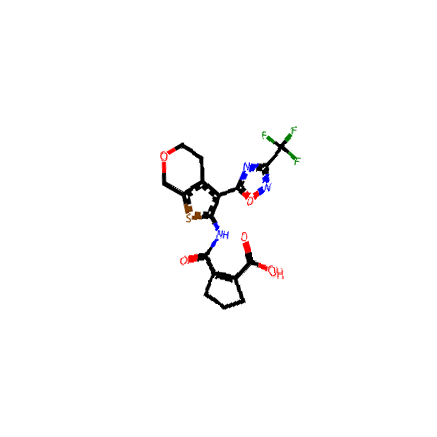 O=C(O)C1=C(C(=O)Nc2sc3c(c2-c2nc(C(F)(F)F)no2)CCOC3)CCC1